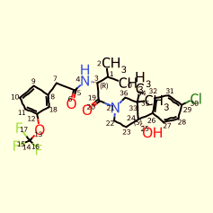 CC(C)[C@@H](NC(=O)Cc1cccc(OC(F)(F)F)c1)C(=O)N1CC[C@](O)(c2ccc(Cl)cc2)C(C)(C)C1